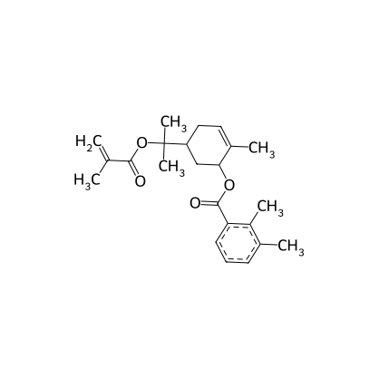 C=C(C)C(=O)OC(C)(C)C1CC=C(C)C(OC(=O)c2cccc(C)c2C)C1